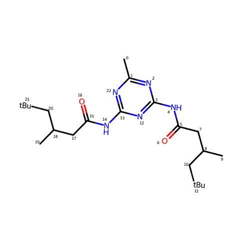 Cc1nc(NC(=O)CC(C)CC(C)(C)C)nc(NC(=O)CC(C)CC(C)(C)C)n1